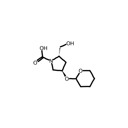 O=C(O)N1C[C@H](OC2CCCCO2)C[C@H]1CO